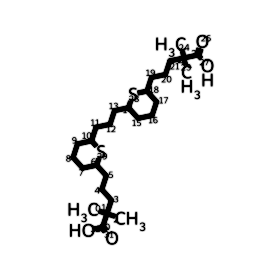 CC(C)(CCCC1CCCC(CCCC2CCCC(CCCC(C)(C)C(=O)O)S2)S1)C(=O)O